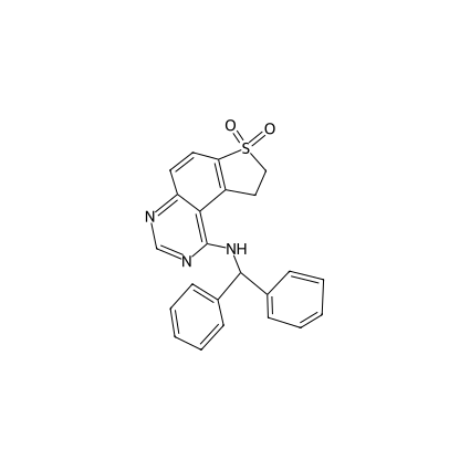 O=S1(=O)CCc2c1ccc1ncnc(NC(c3ccccc3)c3ccccc3)c21